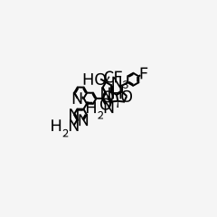 C[C@]1(C(N)=O)COc2c1cc([C@@](O)(CNC(=O)c1cc(-c3cnc(N)nc3)c3ncccc3c1)C(F)(F)F)nc2-c1ccc(F)cc1